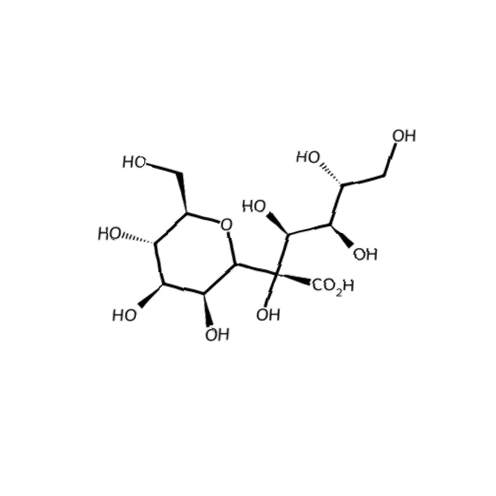 O=C(O)[C@@](O)(C1O[C@H](CO)[C@@H](O)[C@H](O)[C@@H]1O)[C@@H](O)[C@H](O)[C@H](O)CO